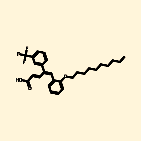 CCCCCCCCCCOc1ccccc1C=C(C=CC(=O)O)c1cccc(C(F)(F)F)c1